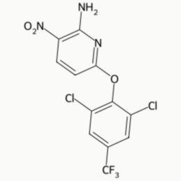 Nc1nc(Oc2c(Cl)cc(C(F)(F)F)cc2Cl)ccc1[N+](=O)[O-]